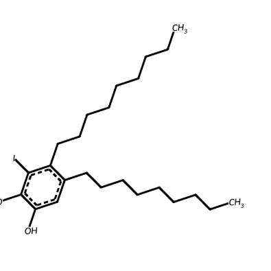 CCCCCCCCCc1cc(O)c(O)c(I)c1CCCCCCCCC